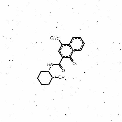 O=Cc1cc(C(=O)N[C@H]2CCCCC2O)c(=O)n2ccccc12